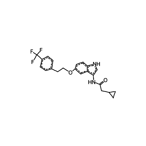 O=C(CC1CC1)Nc1c[nH]c2ccc(OCCc3ccc(C(F)(F)F)cc3)cc12